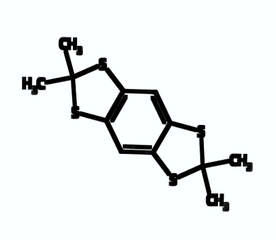 CC1(C)Sc2cc3c(cc2S1)SC(C)(C)S3